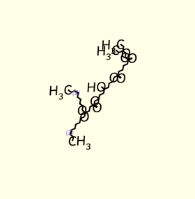 CC/C=C\CCCCOC(CCC(=O)OCCCC(O)CCCOC(=O)CCCCC(=O)OOC(CC)CC)OCCCC/C=C\CC